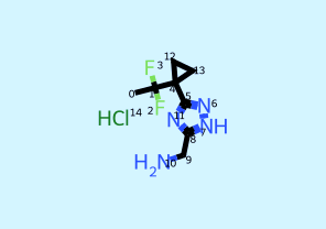 CC(F)(F)C1(c2n[nH]c(CN)n2)CC1.Cl